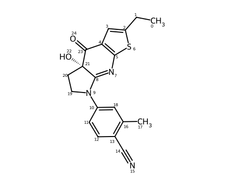 CCc1cc2c(s1)N=C1N(c3ccc(C#N)c(C)c3)CC[C@@]1(O)C2=O